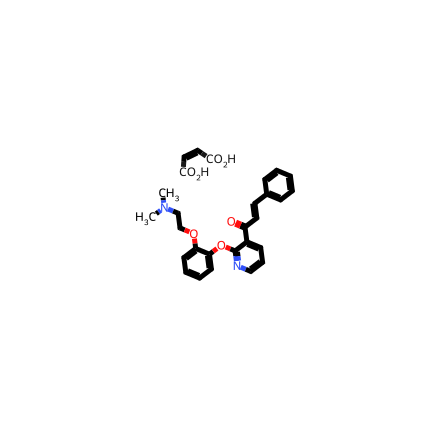 CN(C)CCOc1ccccc1Oc1ncccc1C(=O)C=Cc1ccccc1.O=C(O)/C=C\C(=O)O